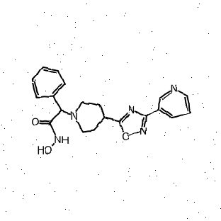 O=C(NO)C(c1ccccc1)N1CCC(c2nc(-c3cccnc3)no2)CC1